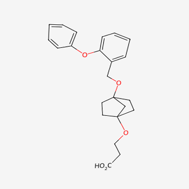 O=C(O)CCOC12CCC(OCc3ccccc3Oc3ccccc3)(CC1)C2